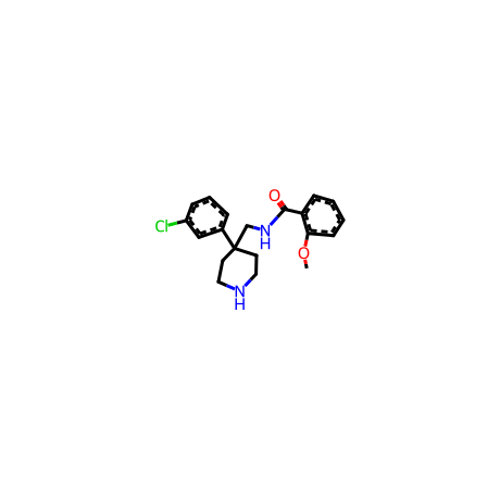 COc1ccccc1C(=O)NCC1(c2cccc(Cl)c2)CCNCC1